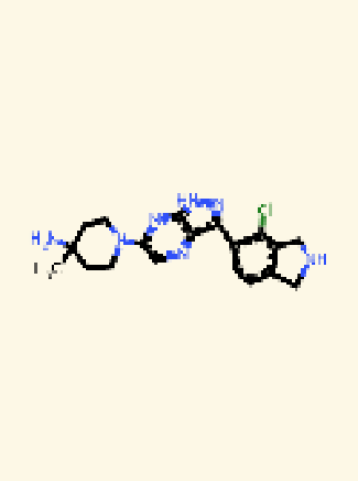 CC1(N)CCN(c2cnc3c(-c4ccc5c(c4Cl)CNC5)n[nH]c3n2)CC1